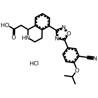 CC(C)Oc1ccc(-c2nc(-c3cccc4c3CCNC4CC(=O)O)no2)cc1C#N.Cl